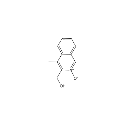 [O-][n+]1cc2ccccc2c(I)c1CO